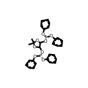 CC1(C)OC(OP(Oc2ccccc2)Oc2ccccc2)C(OP(Oc2ccccc2)Oc2ccccc2)O1